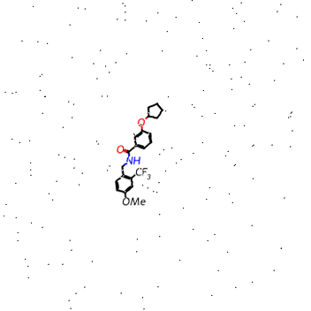 COc1ccc(CNC(=O)c2cccc(OC3CCCC3)c2)c(C(F)(F)F)c1